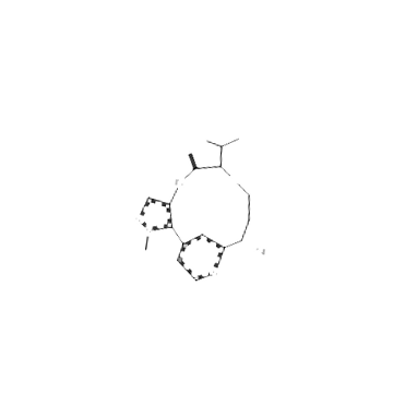 CC(C)C1CCC[C@H](N)c2cc(ccn2)-c2c(cnn2C)NC1=O